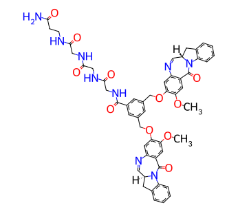 COc1cc2c(cc1OCc1cc(COc3cc4c(cc3OC)C(=O)N3c5ccccc5C[C@H]3C=N4)cc(C(=O)NCC(=O)NCC(=O)NCC(=O)NCCC(N)=O)c1)N=C[C@@H]1Cc3ccccc3N1C2=O